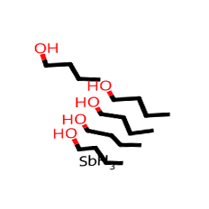 CCCCO.CCCCO.CCCCO.CCCCO.CCCCO.[SbH3]